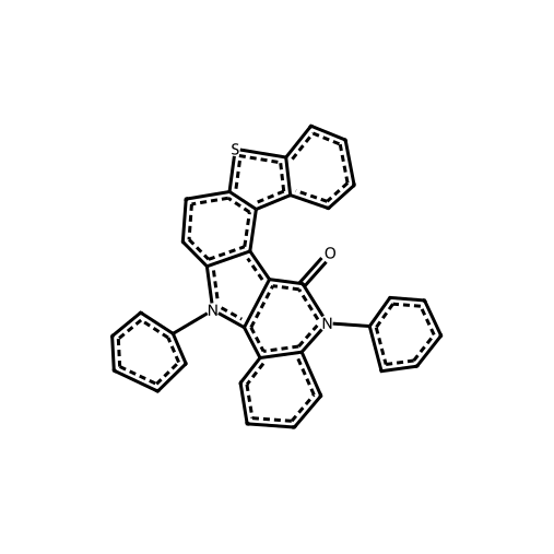 O=c1c2c3c4c(ccc3n(-c3ccccc3)c2c2ccccc2n1-c1ccccc1)sc1ccccc14